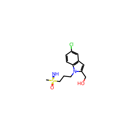 CS(=N)(=O)CCCn1c(CO)cc2cc(Cl)ccc21